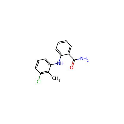 Cc1c(Cl)cccc1Nc1ccccc1C(N)=O